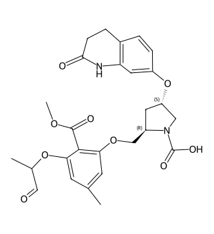 COC(=O)c1c(OC[C@H]2C[C@H](Oc3ccc4c(c3)NC(=O)CC4)CN2C(=O)O)cc(C)cc1OC(C)C=O